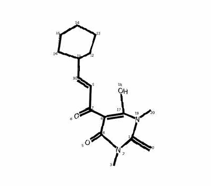 C=C1N(C)C(=O)C(C(=O)/C=C/C2CCCCC2)=C(O)N1C